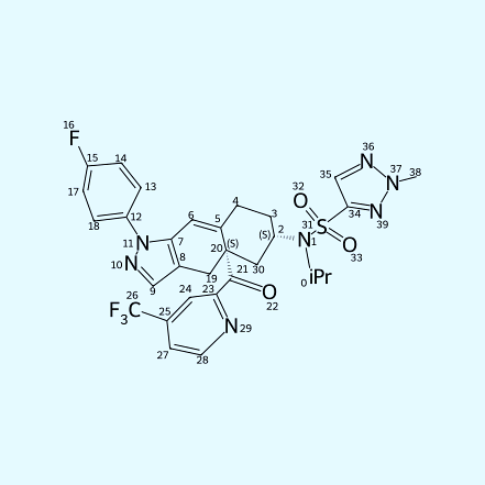 CC(C)N([C@H]1CCC2=Cc3c(cnn3-c3ccc(F)cc3)C[C@]2(C(=O)c2cc(C(F)(F)F)ccn2)C1)S(=O)(=O)c1cnn(C)n1